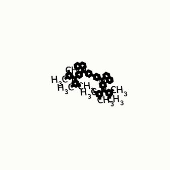 Cc1cc(C)cc(N(c2ccc(N(c3ccc(-c4ccc(N(c5ccc(N(c6cc(C)cc(C)c6)c6cc(C)cc(C)c6)cc5)c5cccc6ccccc56)cc4)cc3)c3cccc4ccccc34)cc2)c2cc(C)cc(C)c2)c1